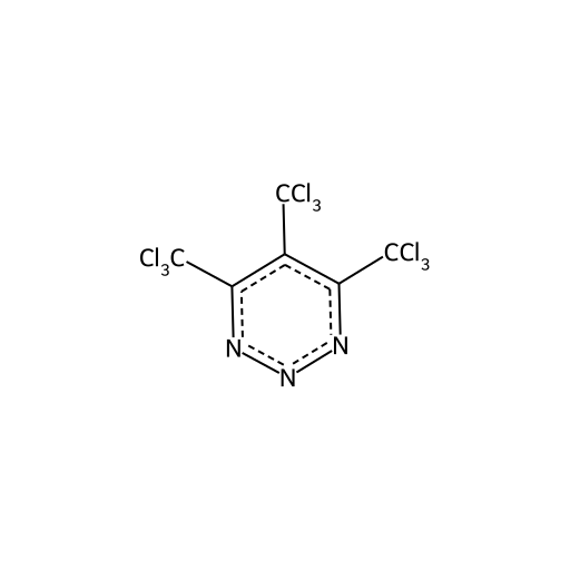 ClC(Cl)(Cl)c1nnnc(C(Cl)(Cl)Cl)c1C(Cl)(Cl)Cl